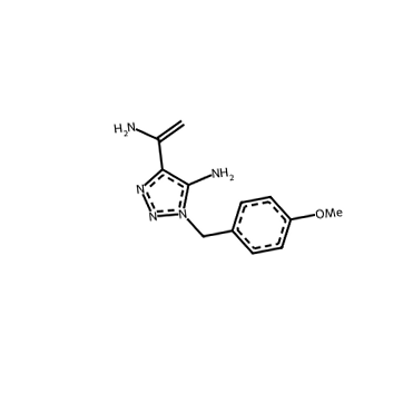 C=C(N)c1nnn(Cc2ccc(OC)cc2)c1N